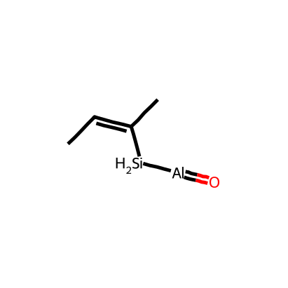 CC=C(C)[SiH2][Al]=[O]